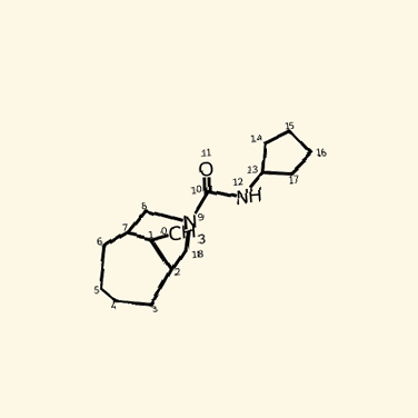 CC1C2CCCCC1CN(C(=O)NC1CCCC1)C2